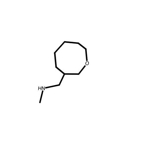 CNCC1CCCCCOC1